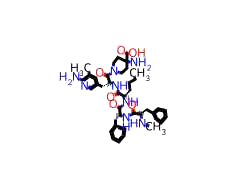 CCCC[C@@H](NC(=O)[C@@H](Cc1ccccc1)NC(=O)[C@@H](Cc1ccccc1)NC)C(=O)N[C@H](Cc1cnc(N)c(C)c1)C(=O)N1CCC(N)(C(=O)O)CC1